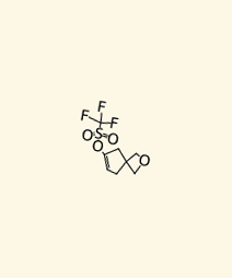 O=S(=O)(OC1=CCC2(COC2)C1)C(F)(F)F